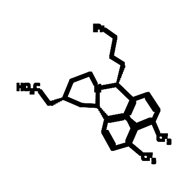 CC(C)CCC[C@H](c1ccc(C(F)(F)F)cc1)N1CC[C@@H](CC(=O)O)C[C@H]1c1ccc(C(F)(F)F)cc1